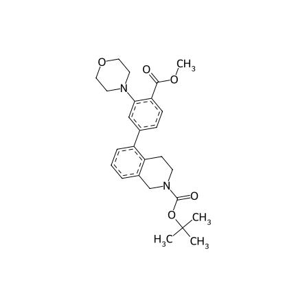 COC(=O)c1ccc(-c2cccc3c2CCN(C(=O)OC(C)(C)C)C3)cc1N1CCOCC1